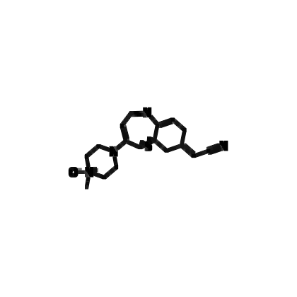 C[N+]1([O-])CCN(C2=CC=NC3=CCC(=CC#N)CC34CSC=C24)CC1